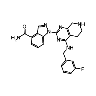 NC(=O)c1cccc2c1cnn2-c1nc2c(c(NCc3cccc(F)c3)n1)CCNC2